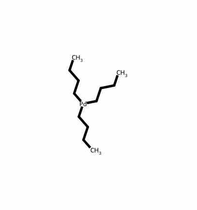 CCC[CH2][Pd]([CH2]CCC)[CH2]CCC